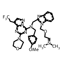 COc1ccc(CN(Cc2nc3ccccc3n2COCC[SiH](C)C)c2nc(N3CCOCC3)nc3c(CC(F)(F)F)cnn23)cc1